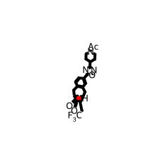 CC(=O)N1CCC(c2noc(-c3ccc4c(c3)CC3CCC(C4)C34CN(CC(F)(F)F)S(=O)(=O)N4)n2)CC1